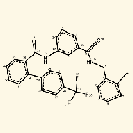 Cc1ccccc1CNC(=O)c1cccc(NC(=O)c2ccccc2-c2ccc(C(F)(F)F)cc2)c1